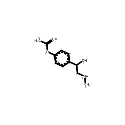 CNCC(O)c1ccc(OC(C)=O)cc1